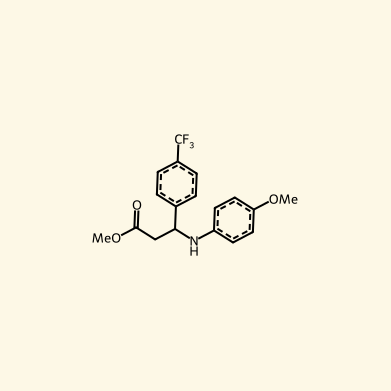 COC(=O)CC(Nc1ccc(OC)cc1)c1ccc(C(F)(F)F)cc1